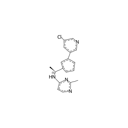 Cc1nccc(N[C@@H](C)c2cccc(-c3cncc(Cl)c3)c2)n1